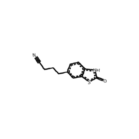 N#CCCCc1ccc2[nH]c(=O)sc2c1